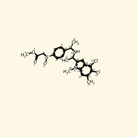 COC(=O)C[S+]([O-])c1ccc([C@@H](C)NC(O)c2cc3c(Cl)c(Cl)c(C)cc3n2C)cc1